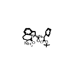 CC(C)(C)OC(=O)[C@@H](NC(=O)[C@@H]1Cc2cccc3c2N1C(=O)[C@@H](N)CC3)c1ccccc1